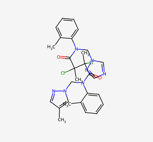 Cc1cnn(CN(C(=O)C(C)(Cl)C(C)(Cl)C(=O)N(Cn2cncn2)c2ccccc2C)c2ccccc2C)c1